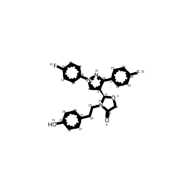 O=C1CO[C@H](c2cn(-c3ccc(F)cc3)nc2-c2ccc(F)cc2)N1CCc1ccc(O)cc1